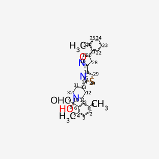 Cc1ccc(C)c(C(O)(C=O)N2CCC(c3nc(C4=NOC(c5ccccc5C)C4)cs3)CC2)c1